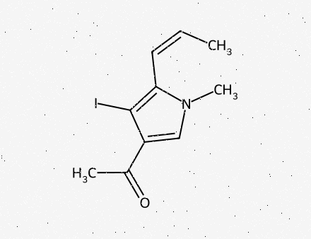 C/C=C\c1c(I)c(C(C)=O)cn1C